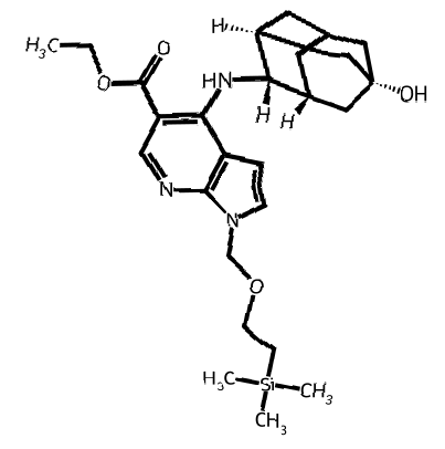 CCOC(=O)c1cnc2c(ccn2COCC[Si](C)(C)C)c1N[C@H]1[C@@H]2CC3C[C@H]1C[C@@](O)(C3)C2